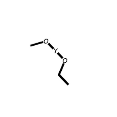 CC[O][Y][O]C